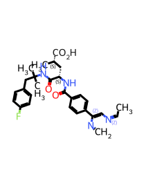 C=N/C(=C\N=C/C)c1ccc(C(=O)N[C@@H](C[C@H](C)C(=O)O)C(=O)NC(C)(C)Cc2ccc(F)cc2)cc1